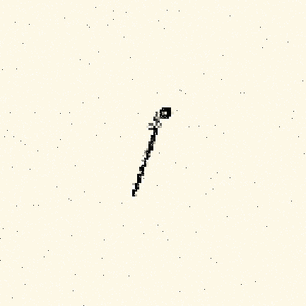 CCCCCCCCCCCCCCCCCC(=O)O[SiH](C)c1ccccc1